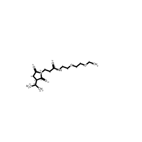 CCOCCOCCNC(=O)CCN1C(=O)CC(C(C)C)C1=O